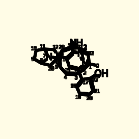 Cc1ccccc(N2C3CCC2CN(c2cc(-c4ccccc4O)nnc2N)C3)cccc1